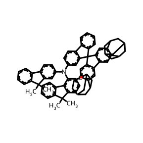 CC1(C)c2ccccc2-c2ccc(N(c3ccc4c(c3)C3(c5ccccc5-4)c4cc5c(cc4-c4cc6c(cc43)C3CC4CC(CC6C4)C3)C3CC4CC(C3)CC5C4)c3cccc4c3-c3ccccc3C4(C)C)cc21